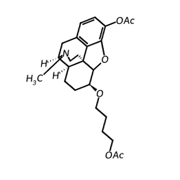 CC(=O)OCCCCO[C@H]1CC[C@H]2[C@H]3Cc4ccc(OC(C)=O)c5c4[C@@]2(CCN3C)C1O5